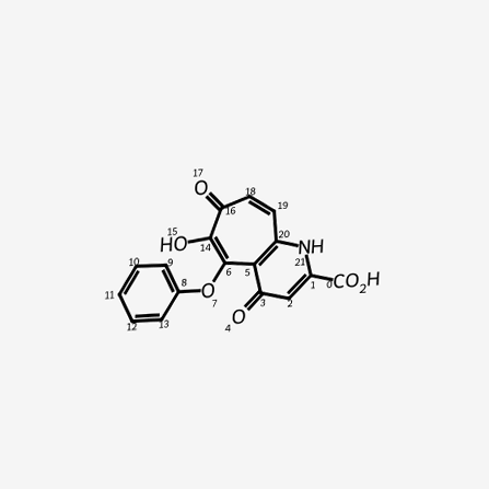 O=C(O)c1cc(=O)c2c(Oc3ccccc3)c(O)c(=O)ccc2[nH]1